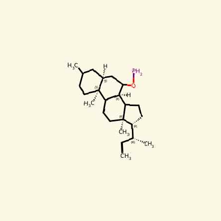 CC[C@@H](C)[C@H]1CCC2[C@@H]3C(OP)C[C@@H]4CC(C)CC[C@]4(C)C3CC[C@@]21C